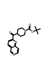 CC(C)(C)OC(=O)N1CCC(C(=S)c2ccc3cnccc3n2)CC1